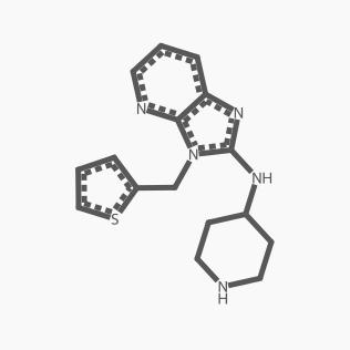 c1csc(Cn2c(NC3CCNCC3)nc3cccnc32)c1